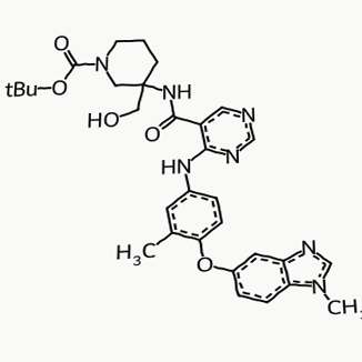 Cc1cc(Nc2ncncc2C(=O)NC2(CO)CCCN(C(=O)OC(C)(C)C)C2)ccc1Oc1ccc2c(c1)ncn2C